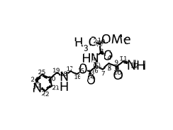 CO[C@H](C)C(=O)N[C@@H](CCC(=O)C=N)C(=O)OCCNCc1ccncc1